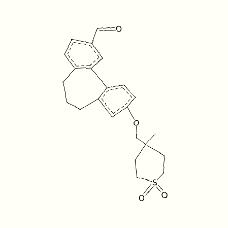 CC1(COc2ccc3c(c2)CCCc2ccc(C=O)cc2-3)CCS(=O)(=O)CC1